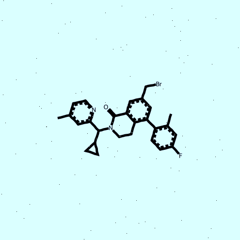 Cc1ccnc(C(C2CC2)N2CCc3c(cc(CBr)cc3-c3ccc(F)cc3C)C2=O)c1